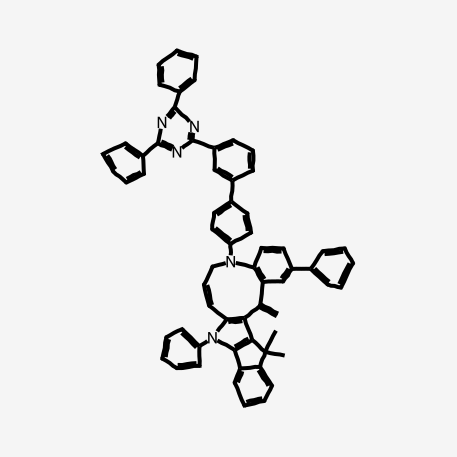 C=C1c2cc(-c3ccccc3)ccc2N(c2ccc(-c3cccc(-c4nc(-c5ccccc5)nc(-c5ccccc5)n4)c3)cc2)C/C=C\c2c1c1c(n2-c2ccccc2)-c2ccccc2C1(C)C